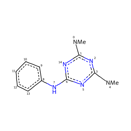 CNc1nc(NC)nc(Nc2ccccc2)n1